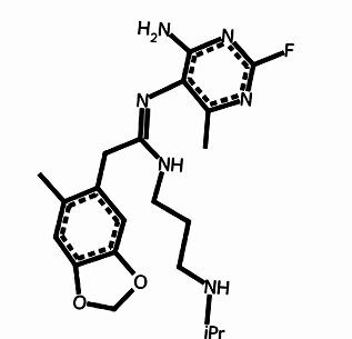 Cc1cc2c(cc1C/C(=N/c1c(C)nc(F)nc1N)NCCCNC(C)C)OCO2